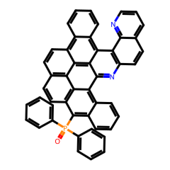 O=P(c1ccccc1)(c1ccccc1)c1c2ccccc2c2c3nc4ccc5cccnc5c4c4c5ccccc5c5ccc6ccc1c2c6c5c34